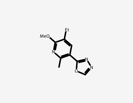 CCc1cc(-c2nnco2)c(C)nc1OC